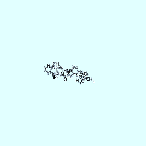 CC(C)Nc1cccnc1N(C)C1CCN(C(=O)c2cc3cc(NS(=O)(=O)N(C)C)ccc3[nH]2)CC1